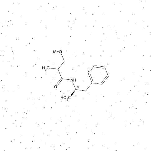 COCC(C)C(=O)N[C@@H](Cc1ccccc1)C(=O)O